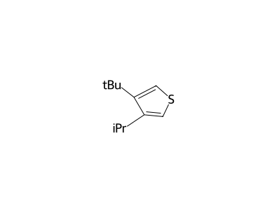 CC(C)c1cscc1C(C)(C)C